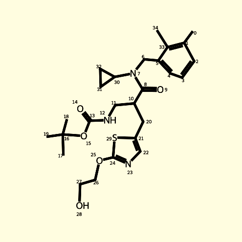 Cc1cccc(CN(C(=O)C(CNC(=O)OC(C)(C)C)Cc2cnc(OCCO)s2)C2CC2)c1C